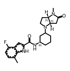 Cc1ccc(F)c2cc(C(=O)N[C@@H]3CCCC(N4CC[C@H]5[C@@H]4CC(=O)N5C)C3)[nH]c12